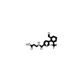 O=Cc1cccc(C(F)(F)F)c1-c1ccc(C(=O)NCCC(=O)O)nc1